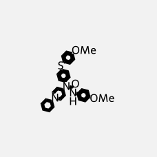 COc1ccc(NC(=O)N(c2ccc(Sc3ccc(OC)cc3)cc2)C2CCN(C3CCCCC3)CC2)cc1